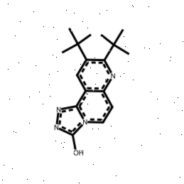 CC(C)(C)c1cc2c(ccn3c(O)nnc23)nc1C(C)(C)C